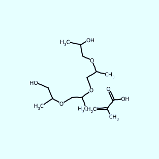 C=C(C)C(=O)O.CC(O)COC(C)COC(C)COC(C)CO